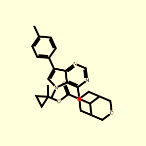 Cc1ccc(-c2cn(C)c3c(OC4C5COCC4CN(C(=O)OC4(C)CC4)C5)ncnc23)cc1